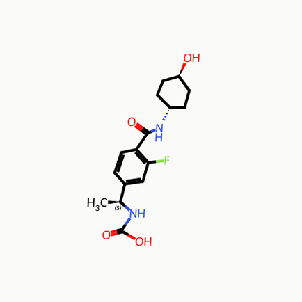 C[C@H](NC(=O)O)c1ccc(C(=O)N[C@H]2CC[C@H](O)CC2)c(F)c1